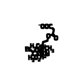 CC(=O)O.CCC(O)C(=O)O.C[N+](C)(C)CCOC(=O)CC(=O)[O-]